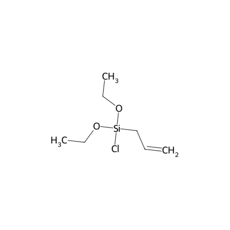 C=CC[Si](Cl)(OCC)OCC